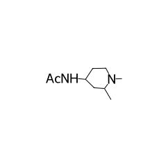 CC(=O)NC1CCN(C)C(C)C1